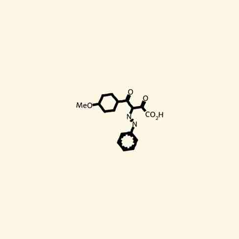 COC1CCC(C(=O)C(/N=N/c2ccccc2)C(=O)C(=O)O)CC1